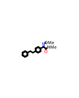 CNC(=O)C(=NOC)c1ccc(CCc2ccccc2)cc1